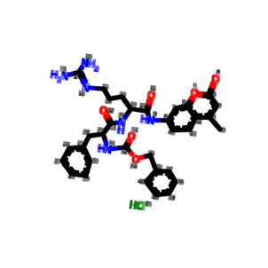 Cc1cc(=O)oc2cc(NC(=O)C(CCCN=C(N)N)NC(=O)C(Cc3ccccc3)NC(=O)OCc3ccccc3)ccc12.Cl